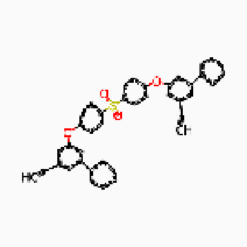 C#Cc1cc(Oc2ccc(S(=O)(=O)c3ccc(Oc4cc(C#C)cc(-c5ccccc5)c4)cc3)cc2)cc(-c2ccccc2)c1